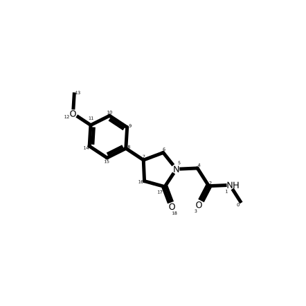 CNC(=O)CN1CC(c2ccc(OC)cc2)CC1=O